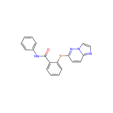 O=C(Nc1ccccc1)c1ccccc1Sc1ccc2nccn2n1